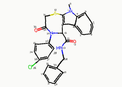 Cn1c2c(c3ccccc31)C(C(=O)NCc1ccccc1)N(c1ccc(Cl)cc1)C(=O)CS2